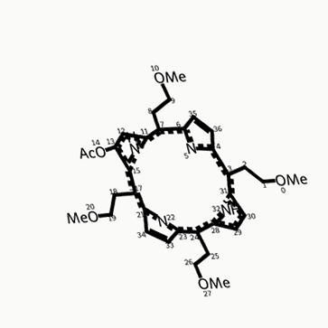 COCCc1c2nc(c(CCOC)c3cc(OC(C)=O)c([nH]3)c(CCOC)c3nc(c(CCOC)c4ccc1[nH]4)C=C3)C=C2